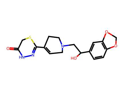 O=C1CSC(C2=CCN(CC(O)c3ccc4c(c3)OCO4)CC2)=NN1